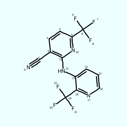 N#Cc1ccc(C(F)(F)F)nc1Nc1cccnc1C(F)(F)F